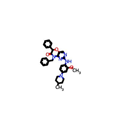 COc1cc(N2CCC(C)CC2)ccc1Nc1ncc2c(n1)N(Cc1ccccc1)C(=O)C(c1ccccc1)O2